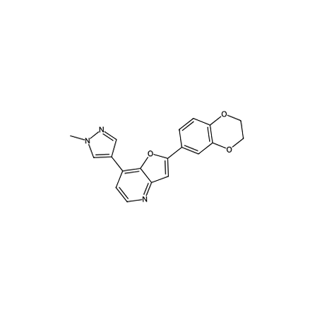 Cn1cc(-c2ccnc3cc(-c4ccc5c(c4)OCCO5)oc23)cn1